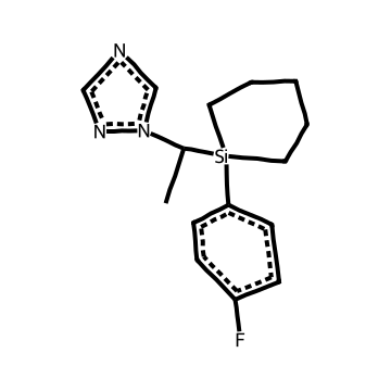 CC(n1cncn1)[Si]1(c2ccc(F)cc2)CCCCC1